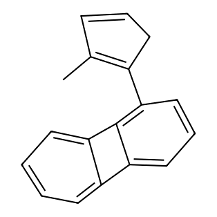 CC1=C(c2cccc3c2-c2ccccc2-3)CC=C1